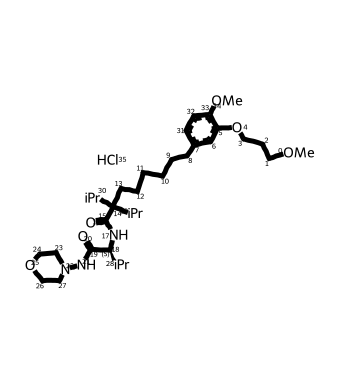 COCCCOc1cc(CCCCCCC(C(=O)N[C@H](C(=O)NN2CCOCC2)C(C)C)(C(C)C)C(C)C)ccc1OC.Cl